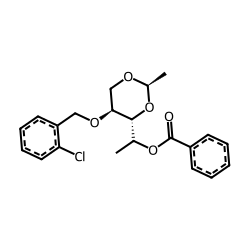 CC(OC(=O)c1ccccc1)[C@H]1O[C@H](C)OC[C@@H]1OCc1ccccc1Cl